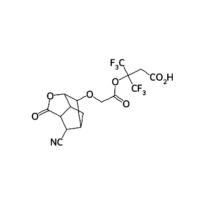 N#CC1C2CC3C(OC(=O)C13)C2OCC(=O)OC(CC(=O)O)(C(F)(F)F)C(F)(F)F